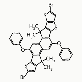 CC1(C)c2cc(Br)sc2-c2c(Oc3ccccc3)cc3c4c(c(Oc5ccccc5)cc3c21)-c1sc2cc(Br)sc2c1C4(C)C